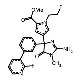 COC(=O)c1cc(C2(c3cccc(-c4cccnc4F)c3)N=C(N)N(C)C2=O)cn1CCF